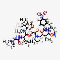 CC[C@H](C)[C@@H]([C@@H](CC(=O)N1CCC[C@H]1[C@H](OC)[C@@H](C)C(=O)N[C@H](CC#N)Cc1cccc([N+](=O)[O-])c1)OC)N(C)C(=O)[C@@H](NC(=O)CN(C)C)C(C)C